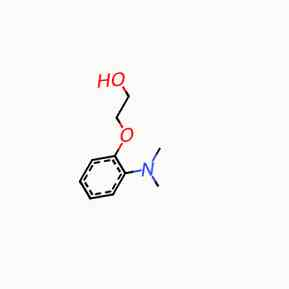 CN(C)c1ccccc1OCCO